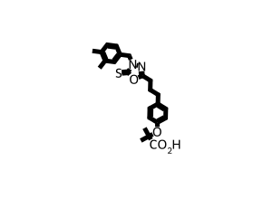 Cc1ccc(Cn2nc(CCCc3ccc(OC(C)(C)C(=O)O)cc3)oc2=S)cc1C